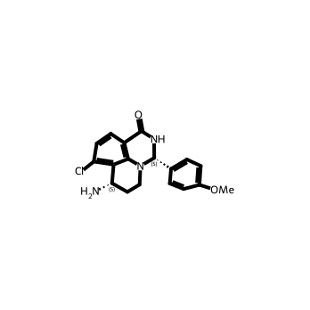 COc1ccc([C@H]2NC(=O)c3ccc(Cl)c4c3N2CC[C@@H]4N)cc1